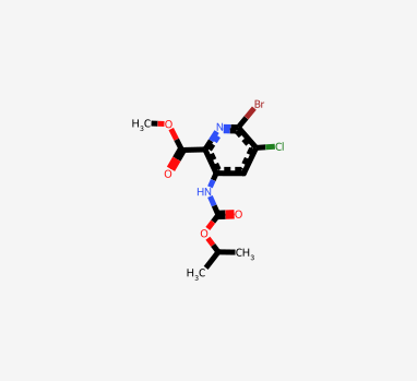 COC(=O)c1nc(Br)c(Cl)cc1NC(=O)OC(C)C